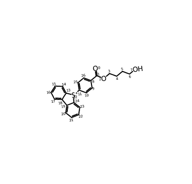 O=C(OCCCCO)c1ccc(-[s+]2c3ccccc3c3ccccc32)cc1